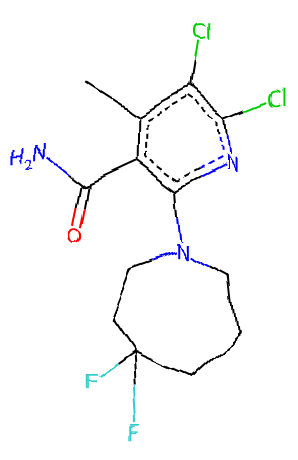 Cc1c(Cl)c(Cl)nc(N2CCCC(F)(F)CC2)c1C(N)=O